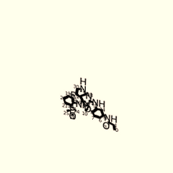 C=CC(=O)Nc1ccc(OC)c(Nc2nc(Nc3ccccc3P(C)(C)=O)c3c(F)c[nH]c3n2)c1